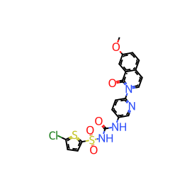 COc1ccc2ccn(-c3ccc(NC(=O)NS(=O)(=O)c4ccc(Cl)s4)cn3)c(=O)c2c1